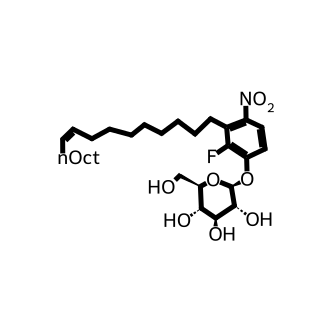 CCCCCCCC/C=C\CCCCCCCCc1c([N+](=O)[O-])ccc(O[C@@H]2O[C@H](CO)[C@@H](O)[C@H](O)[C@H]2O)c1F